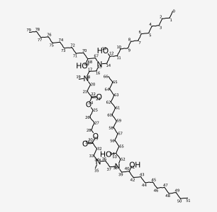 CCCCCCCCCCCCC(O)CN(CCN(C)CCC(=O)OCCCCOC(=O)CCN(C)CCN(CC(O)CCCCCCCCCC)CC(O)CCCCCCCCCCCC)CC(O)CCCCCCCCCC